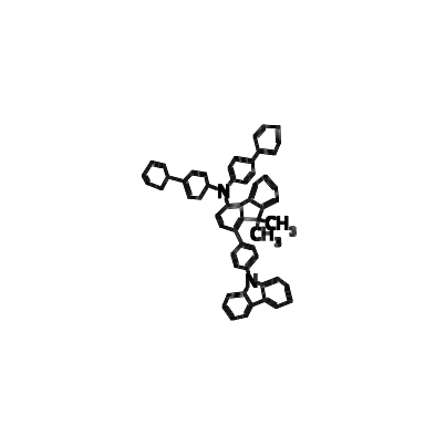 CC1(C)c2ccccc2-c2c(N(c3ccc(-c4ccccc4)cc3)C3C=CC(C4C=CC=CC4)=CC3)ccc(-c3ccc(-n4c5ccccc5c5ccccc54)cc3)c21